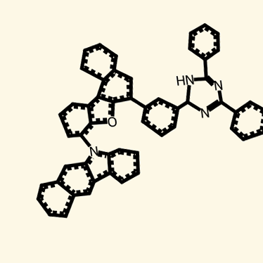 c1ccc(C2=NC(c3cccc(-c4cc5ccccc5c5c4oc4c(-n6c7ccccc7c7cc8ccccc8cc76)cccc45)c3)NC(c3ccccc3)=N2)cc1